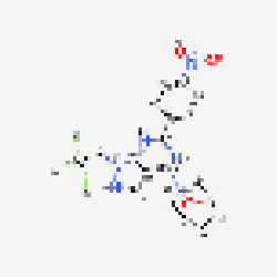 O=[N+]([O-])c1ccc(-c2nc(N3CC4CCC(C3)O4)c3cnn(CC(F)(F)F)c3n2)cc1